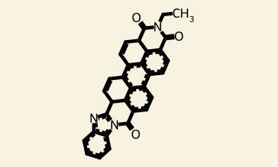 CCN1C(=O)c2ccc3c4c(c5c6c7c(ccc63)C(=O)n3c(nc6ccccc63)C7C=C5)C=CC(C1=O)c24